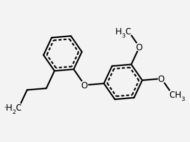 [CH2]CCc1ccccc1Oc1ccc(OC)c(OC)c1